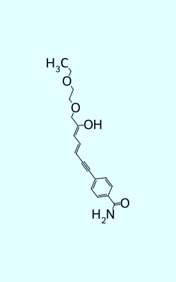 CCOCCOC/C(O)=C/C=C/C#Cc1ccc(C(N)=O)cc1